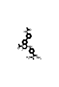 CC(=O)Nc1cccc(-c2ccc3c(c2)[C@H](Nc2ccc(/C(=N/N)N(C)N)cc2)C[C@H](C)N3C(C)=O)c1